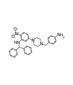 Nc1ccc(CN2CCN(c3ccc([N+](=O)[O-])c(NC(c4ccccc4)c4ccccc4)c3)CC2)cc1